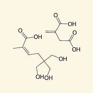 C=C(CC(=O)O)C(=O)O.CC(=CCC(CO)(CO)CO)C(=O)O